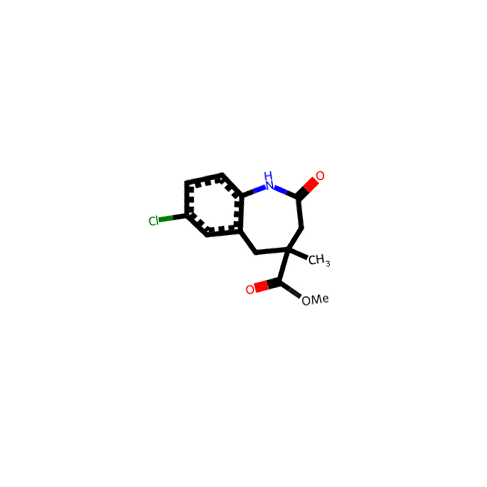 COC(=O)C1(C)CC(=O)Nc2ccc(Cl)cc2C1